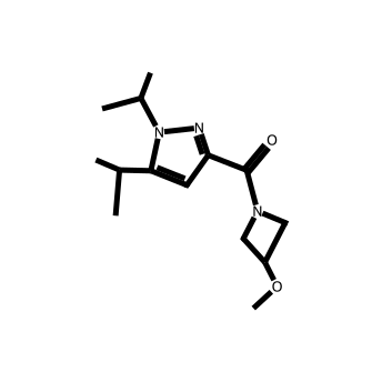 COC1CN(C(=O)c2cc(C(C)C)n(C(C)C)n2)C1